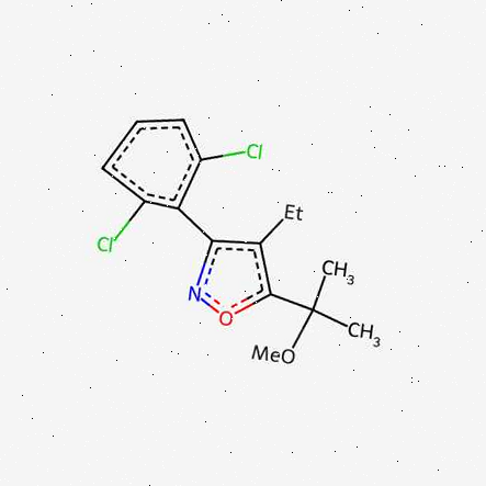 CCc1c(-c2c(Cl)cccc2Cl)noc1C(C)(C)OC